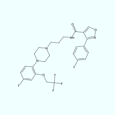 O=C(NCCCN1CCN(c2ccc(F)cc2OCC(F)(F)F)CC1)c1conc1-c1ccc(F)cc1